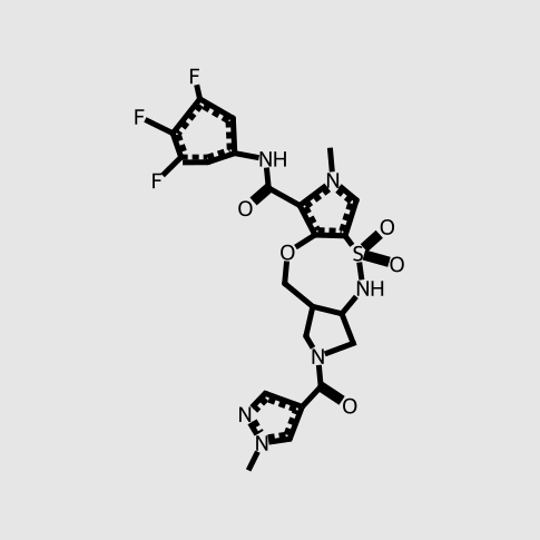 Cn1cc(C(=O)N2CC3COc4c(cn(C)c4C(=O)Nc4cc(F)c(F)c(F)c4)S(=O)(=O)NC3C2)cn1